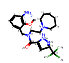 COc1c(N)cccc1CN(CCN1CCCCCC1)C(=O)c1cc(C(F)(F)F)n[nH]1